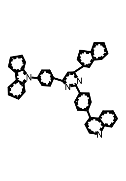 c1ccc2cc(-c3cc(-c4ccc(-n5c6ccccc6c6ccccc65)cc4)nc(-c4ccc(-c5ccnc6ccccc56)cc4)n3)ccc2c1